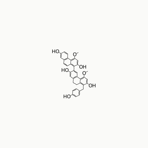 COc1cc(O)c(Cc2ccc(O)cc2)c2c1-c1cc(-c3c(O)cc(OC)c4c3ccc3cc(O)ccc34)c(O)cc1CC2